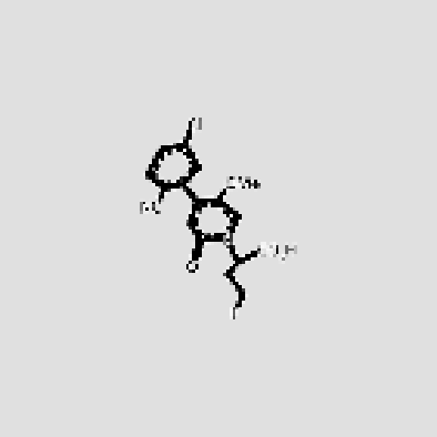 COc1cn(C(CCF)C(=O)O)c(=O)cc1-c1cc(Cl)ccc1C#N